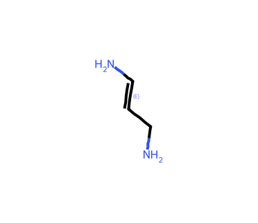 N/C=C/CN